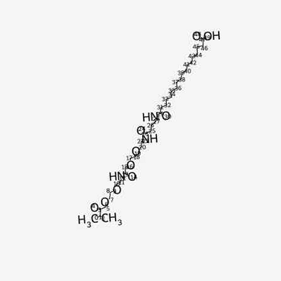 CC(C)C(=O)COCCOCCNC(=O)COCCOCCNC(=O)CCCNC(=O)CCCCCCCCCCCCCCCCC(=O)O